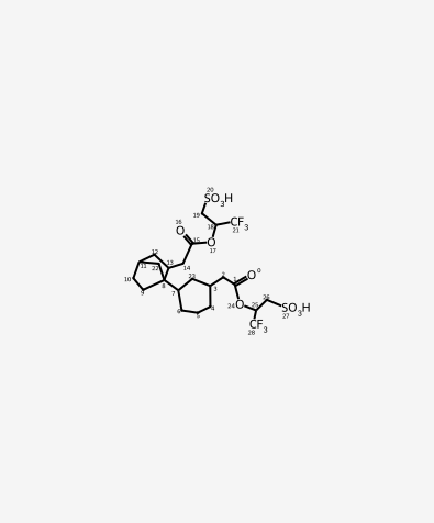 O=C(CC1CCCC(C23CCC(CC2CC(=O)OC(CS(=O)(=O)O)C(F)(F)F)C3)C1)OC(CS(=O)(=O)O)C(F)(F)F